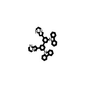 C1=CN2C=C(c3cc(-c4cc(-c5cc6ncccn6c5)cc(-n5c6ccccc6c6ccccc65)c4)cc(-n4c5ccccc5c5ccccc54)c3)CC2N=C1